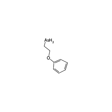 [AsH2]CCOc1ccccc1